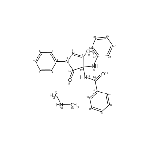 CC1=NN(c2ccccc2)C(=O)C1(NC(=O)c1ccccc1)Nc1ccccc1.CNC